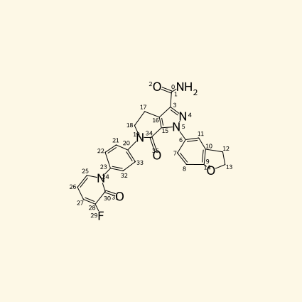 NC(=O)c1nn(-c2ccc3c(c2)CCO3)c2c1CCN(c1ccc(-n3cccc(F)c3=O)cc1)C2=O